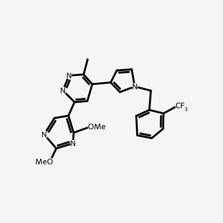 COc1ncc(-c2cc(-c3ccn(Cc4ccccc4C(F)(F)F)c3)c(C)nn2)c(OC)n1